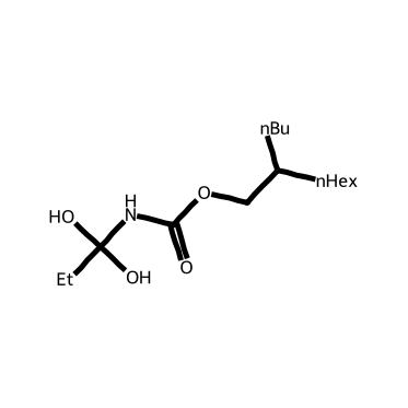 CCCCCCC(CCCC)COC(=O)NC(O)(O)CC